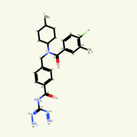 CC(C)(C)C1CCC(N(Cc2ccc(C(=O)N/C(N=N)=N/N)cc2)C(=O)c2ccc(F)c(C(F)(F)F)c2)CC1